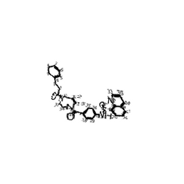 O=C(CCc1ccccc1)N1CCCN(C(=O)c2ccc(N[S+]([O-])c3cccc4cccnc34)cc2)CC1